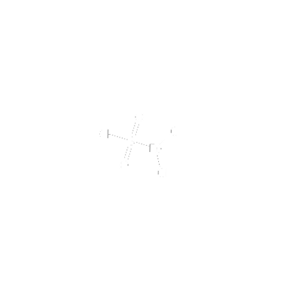 O=[S](=O)(Cl)[Fe]([Cl])[Cl]